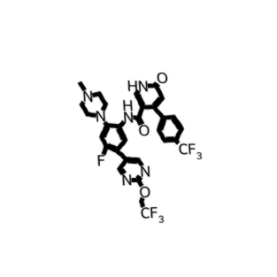 CN1CCN(c2cc(F)c(-c3cnc(OCC(F)(F)F)nc3)cc2NC(=O)c2c[nH]c(=O)cc2-c2ccc(C(F)(F)F)cc2)CC1